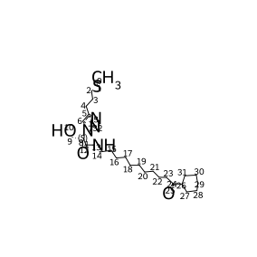 CSCCCc1cn([C@@H](CO)C(=O)NCCCCCCCCCCC(=O)C2CCCCC2)nn1